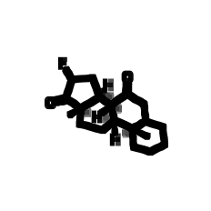 C[C@]12CCCCC1CC(=O)[C@@H]1[C@H]2CC[C@]2(C)C(=O)C(F)C[C@@H]12